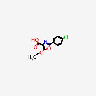 CCOc1oc(-c2ccc(Cl)cc2)nc1C(=O)O